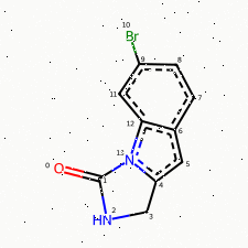 O=C1NCc2cc3ccc(Br)cc3n21